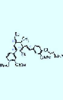 CC/C=C(/C=C/c1ccc(OCCC)c(OC)c1)C(C)C(/C=C/c1ccc(OCCNC(C)=O)c(OC)c1)=C/CC